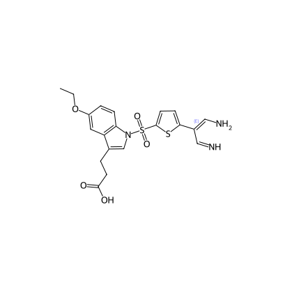 CCOc1ccc2c(c1)c(CCC(=O)O)cn2S(=O)(=O)c1ccc(/C(C=N)=C/N)s1